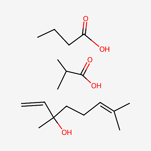 C=CC(C)(O)CCC=C(C)C.CC(C)C(=O)O.CCCC(=O)O